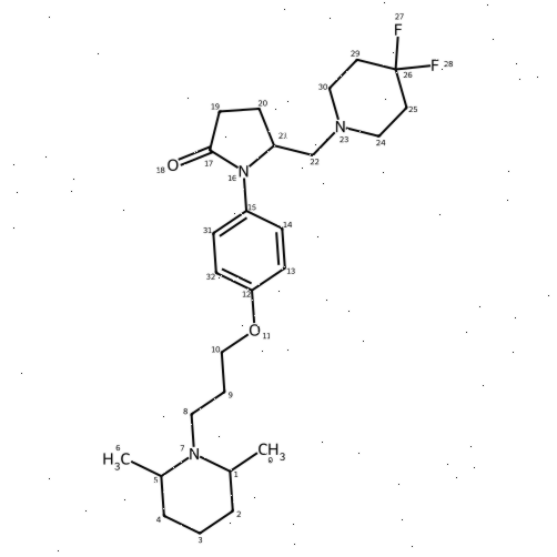 CC1CCCC(C)N1CCCOc1ccc(N2C(=O)CCC2CN2CCC(F)(F)CC2)cc1